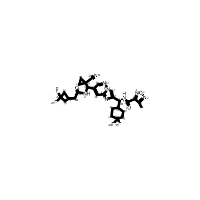 Cc1nonc1C(=O)N[C@H](c1cn2ncc(C(NC(=O)CC3CC(F)(F)C3)C3(C#N)CC3)cc2n1)C1CCC(F)(F)CC1